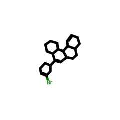 BrC1=CCCC(C2=CC3CCC4CCC=CC4C3C3CCCCC23)C1